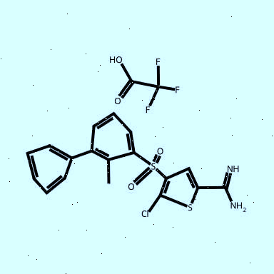 Cc1c(-c2ccccc2)cccc1S(=O)(=O)c1cc(C(=N)N)sc1Cl.O=C(O)C(F)(F)F